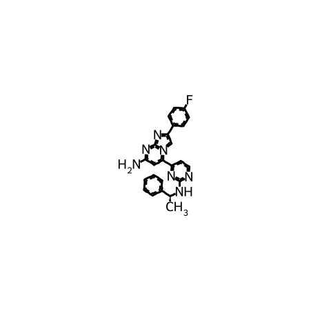 C[C@H](Nc1nccc(-c2cc(N)nc3nc(-c4ccc(F)cc4)cn23)n1)c1ccccc1